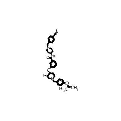 CC(C)Oc1ccc(CN2CC[C@@H](Oc3cccc(C(=O)NC4CCN(Cc5ccc(C#N)cc5)CC4)c3)[C@H](F)C2)cc1